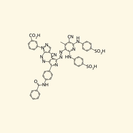 Cc1c(C#N)c(Nc2ccc(S(=O)(=O)O)cc2)nc(Nc2ccc(S(=O)(=O)O)cc2)c1N=Nc1nc(-c2ccc(NC(=O)c3ccccc3)cc2)c(/N=N\c2c(C#N)cnn2-c2cccc(C(=O)O)c2)s1